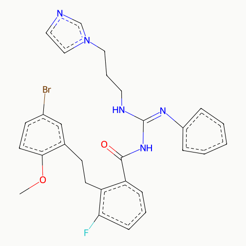 COc1ccc(Br)cc1CCc1c(F)cccc1C(=O)N/C(=N\c1ccccc1)NCCCn1ccnc1